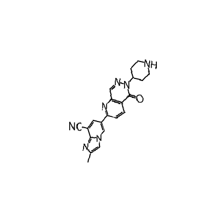 Cc1cn2cc(-c3ccc4c(=O)n(C5CCNCC5)ncc4n3)cc(C#N)c2n1